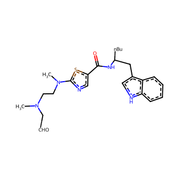 CCCCC(Cc1c[nH]c2ccccc12)NC(=O)c1cnc(N(C)CCN(C)CC=O)s1